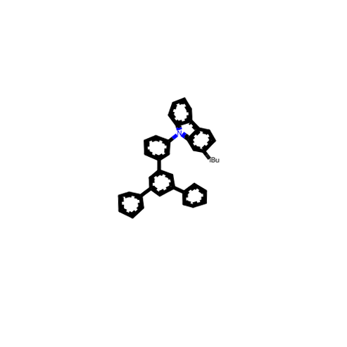 CCC(C)c1ccc2c3ccccc3n(-c3cccc(-c4cc(-c5ccccc5)cc(-c5ccccc5)c4)c3)c2c1